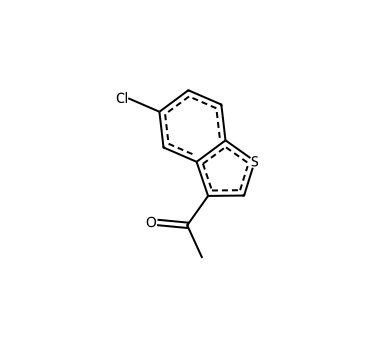 CC(=O)c1csc2ccc(Cl)cc12